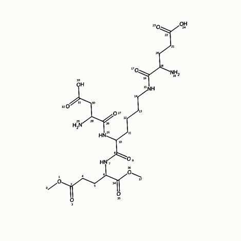 COC(=O)CCC(NC(=O)C(CCCCNC(=O)C(N)CCC(=O)O)NC(=O)C(N)CC(=O)O)C(=O)OC